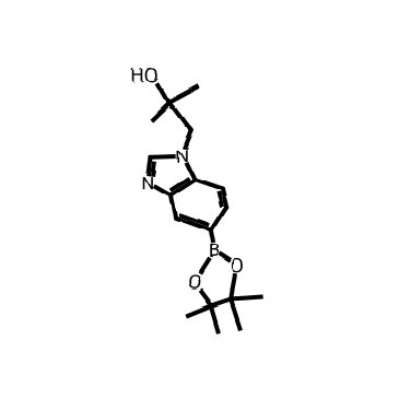 CC(C)(O)Cn1cnc2cc(B3OC(C)(C)C(C)(C)O3)ccc21